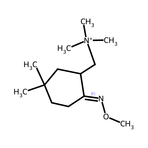 CO/N=C1\CCC(C)(C)CC1C[N+](C)(C)C